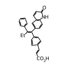 CCC(=C(c1ccc(C=CC(=O)O)cc1)c1ccc2[nH]c(=O)ccc2c1)c1ccccc1